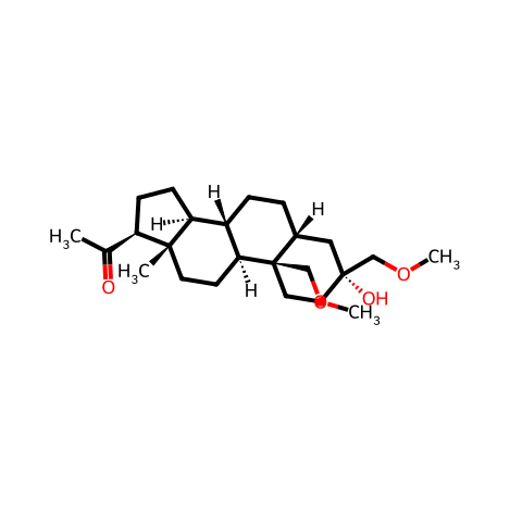 COC[C@@]1(O)CC[C@@]2(COC)[C@H](CC[C@H]3[C@@H]4CC[C@H](C(C)=O)[C@@]4(C)CC[C@@H]32)C1